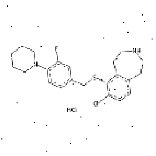 Cl.Fc1cc(CSc2c(Cl)ccc3c2CCNCC3)ccc1N1CCCCC1